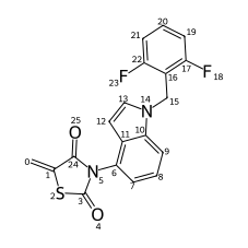 C=C1SC(=O)N(c2cccc3c2ccn3Cc2c(F)cccc2F)C1=O